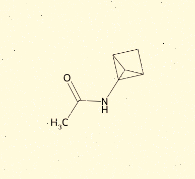 CC(=O)NC1C2CC1C2